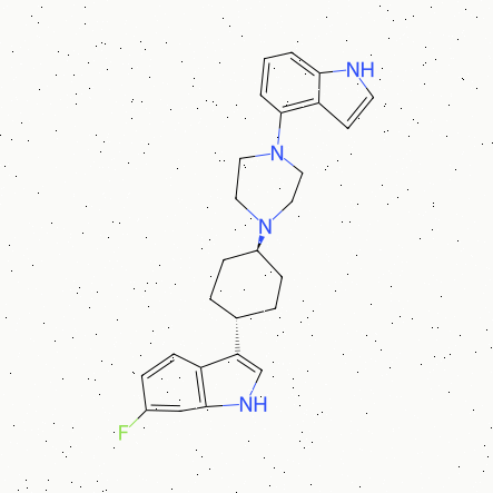 Fc1ccc2c(c1)[nH]cc2[C@H]1CC[C@H](N2CCN(c3cccc4[nH]ccc34)CC2)CC1